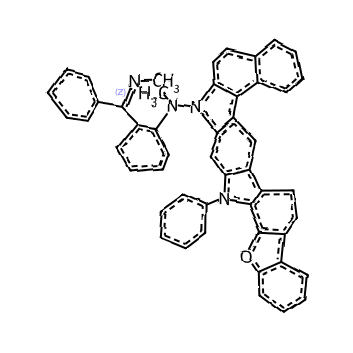 C/N=C(/c1ccccc1)c1ccccc1N(C)n1c2cc3c(cc2c2c4ccccc4ccc21)c1ccc2c4ccccc4oc2c1n3-c1ccccc1